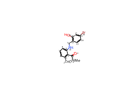 CNC(=O)c1c(C=O)cccc1NCc1ccc(Br)cc1O